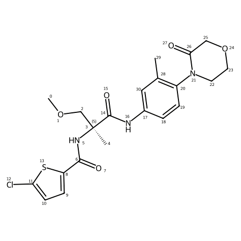 COC[C@](C)(NC(=O)c1ccc(Cl)s1)C(=O)Nc1ccc(N2CCOCC2=O)c(C)c1